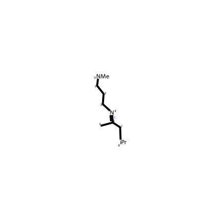 CNCCC/N=C(\C)CC(C)C